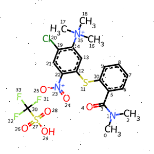 CN(C)C(=O)c1ccccc1Sc1cc([N+](C)(C)C)c(Cl)cc1[N+](=O)[O-].O=S(=O)(O)C(F)(F)F